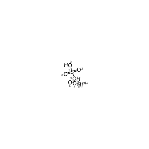 O=S(=O)(O)O.[Hf+4].[O-2].[O-2]